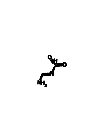 NC=N[SH](=O)=O